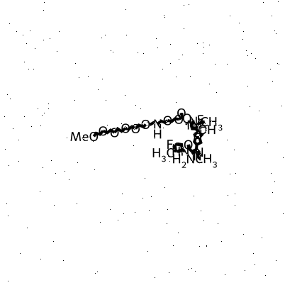 COCCOCCOCCOCCOCCOCCNCCOCCOC(=O)OCn1cc(C2(O)CC3CC(c4nn(C)c(N)c4C(=O)Nc4ccc(F)c(C)c4)CC3C2)c(C(C)(F)F)n1